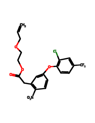 C=CCOCCOC(=O)Cc1cc(Oc2ccc(C(F)(F)F)cc2Cl)ccc1[N+](=O)[O-]